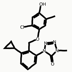 Cc1cc(OCc2c(C3CC3)cccc2-n2nnn(C)c2=O)c(Cl)cc1O